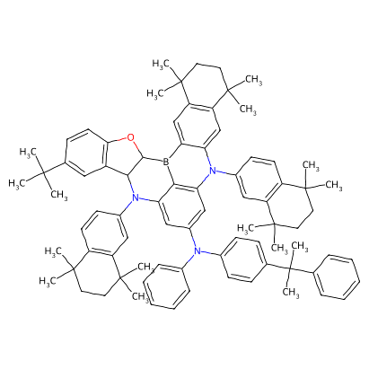 CC(C)(C)c1ccc2c(c1)C1C(O2)B2c3cc4c(cc3N(c3ccc5c(c3)C(C)(C)CCC5(C)C)c3cc(N(c5ccccc5)c5ccc(C(C)(C)c6ccccc6)cc5)cc(c32)N1c1ccc2c(c1)C(C)(C)CCC2(C)C)C(C)(C)CCC4(C)C